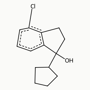 OC1(C2CCCC2)CCc2c(Cl)cccc21